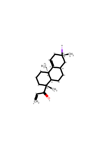 C=CC(=O)[C@]1(C)CCC[C@@]2(C)C3=CC[C@](C)(I)CC3CCC12